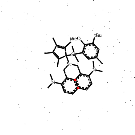 COc1c(C(C)(C)C)cc(C)cc1[Si](C)(C)[C]1([Sc]([CH2]c2ccccc2N(C)C)[CH2]c2ccccc2N(C)C)C(C)=C(C)C(C)=C1C